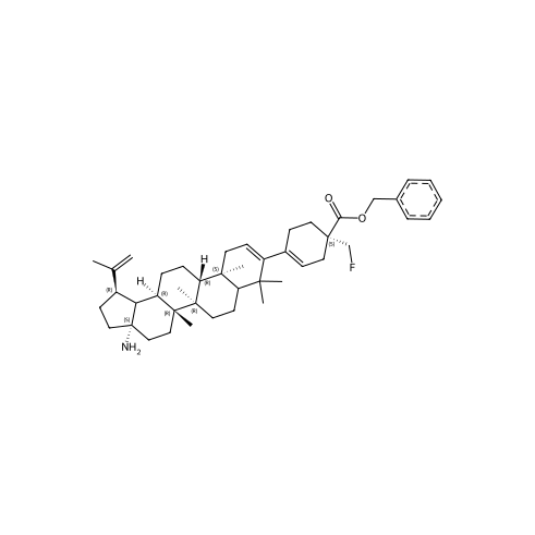 C=C(C)[C@@H]1CC[C@]2(N)CC[C@]3(C)[C@H](CC[C@@H]4[C@@]5(C)CC=C(C6=CC[C@](CF)(C(=O)OCc7ccccc7)CC6)C(C)(C)C5CC[C@]43C)C12